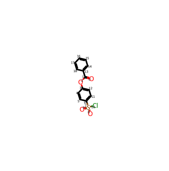 O=C(Oc1ccc(S(=O)(=O)Cl)cc1)c1ccccc1